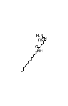 CCCCCCCCCCCCCNC(=O)CCCc1cnc(N)[nH]1